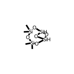 C[Si]1(C)O[SiH]2O[SiH](O2)O[Si](C)(C)O1